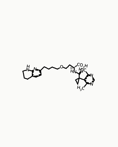 Cc1ncnc(C)c1C1(C(=O)N[C@@H](CCOCCCCc2ccc3c(n2)NCCC3)C(=O)O)CC1